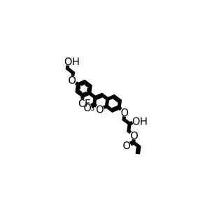 C=CC(=O)OCC(O)COC1=CC2OC(=O)C(c3ccc(OCCO)cc3C(F)(F)F)=CC2C=C1